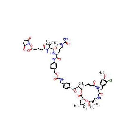 COc1ccc(C[C@H]2NC(=O)/C=C/C[C@@H]([C@H](C)[C@H]3O[C@@H]3c3ccc(CNC(=O)OCc4ccc(NC(=O)[C@H](CCCNC(N)=O)NC(=O)[C@@H](NC(=O)CCCC(=O)ON5C(=O)CCC5=O)C(C)C)cc4)cc3)OC(=O)[C@H](CC(C)C)OC(=O)C(C)(C)CNC2=O)cc1Cl